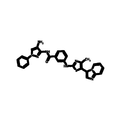 Cc1nc(Nc2cccc(C(=O)Nc3nn(-c4ccccc4)cc3N)c2)sc1-c1cnc2ccccn12